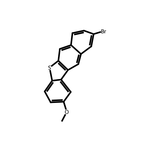 COc1ccc2sc3cc4ccc(Br)cc4cc3c2c1